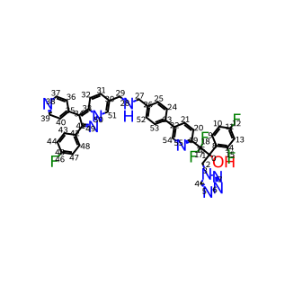 OC(Cn1cnnn1)(c1ccc(F)cc1F)C(F)(F)c1ccc(-c2ccc(CNCc3ccc4c(-c5ccncc5)c(-c5ccc(F)cc5)nn4c3)cc2)cn1